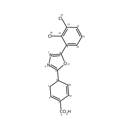 O=C(O)C1=CCC(c2nnc(-c3cccc(Cl)c3Cl)o2)C=C1